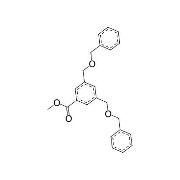 COC(=O)c1cc(COCc2ccccc2)cc(COCc2ccccc2)c1